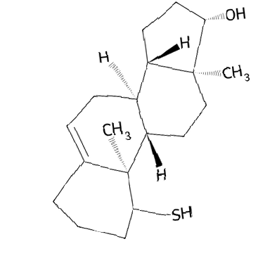 C[C@]12CC[C@H]3[C@@H](CC=C4CCCC(S)[C@@]43C)[C@@H]1CC[C@@H]2O